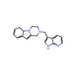 C1=CCC2C(=C1)C=C1CN(Cc3c[nH]c4ncccc34)CCN12